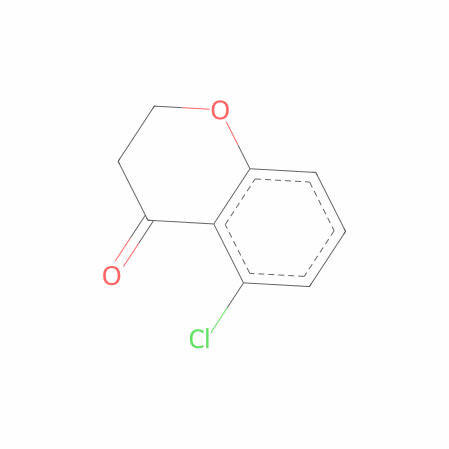 O=C1CCOc2cccc(Cl)c21